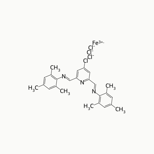 Cc1cc(C)c(N=Cc2cc(Cl)cc(C=Nc3c(C)cc(C)cc3C)n2)c(C)c1.[Cl-].[Cl-].[Cl-].[Fe+3]